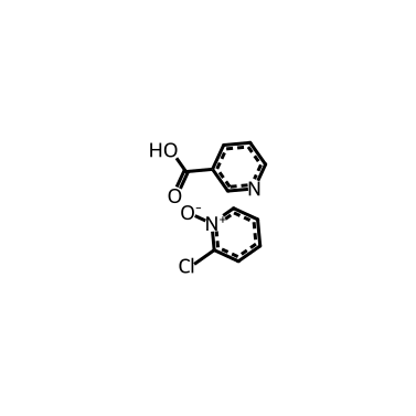 O=C(O)c1cccnc1.[O-][n+]1ccccc1Cl